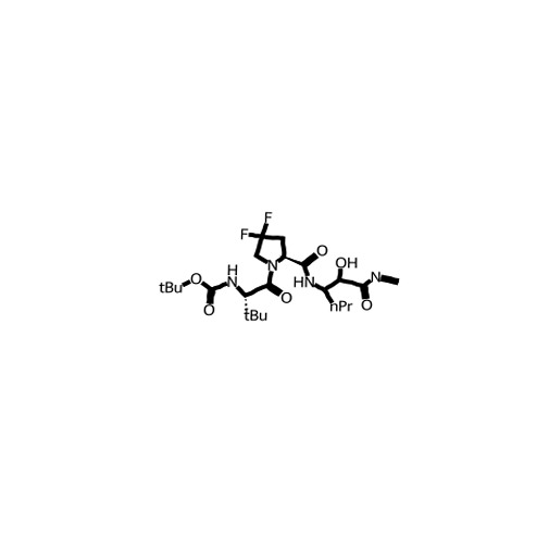 C=NC(=O)C(O)C(CCC)NC(=O)[C@@H]1CC(F)(F)CN1C(=O)[C@@H](NC(=O)OC(C)(C)C)C(C)(C)C